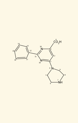 O=C(O)c1cc(N2CCNCC2)nc(-c2ccccc2)n1